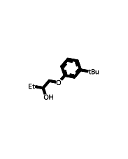 CCC(O)COc1cccc(C(C)(C)C)c1